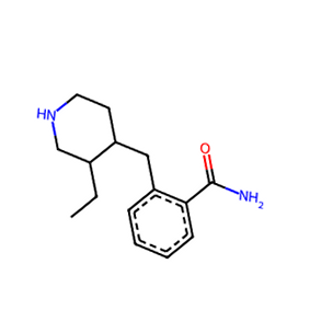 CCC1CNCCC1Cc1ccccc1C(N)=O